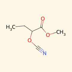 CCC(OC#N)C(=O)OC